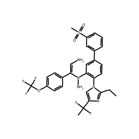 CCc1nc(C(C)(F)F)cn1-c1ccc(-c2cccc(S(C)(=O)=O)c2)cc1N(N)/C(=C\N)c1ccc(OC(F)(F)F)cc1